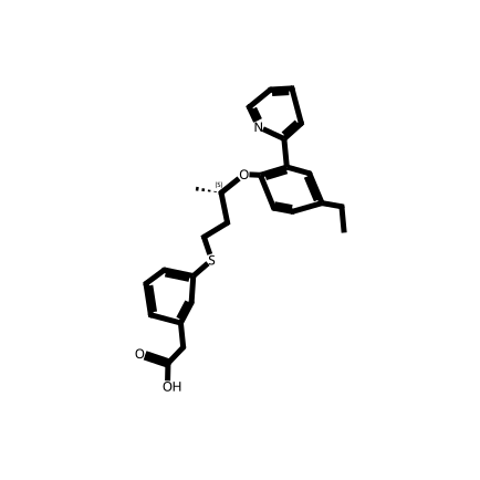 CCc1ccc(O[C@@H](C)CCSc2cccc(CC(=O)O)c2)c(-c2ccccn2)c1